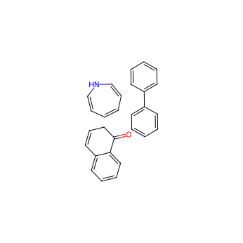 C1=CC=CNC=C1.O=C1CC=Cc2ccccc21.c1ccc(-c2ccccc2)cc1